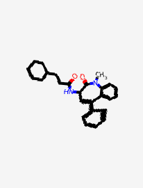 CN1C(=O)C(NC(=O)CCC2CCCCC2)C=C(c2ccccc2)c2ccccc21